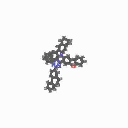 c1ccc(-c2nc(-c3ccc4c(ccc5ccccc54)c3)nc(-c3cc4oc5ccccc5c4cc3-n3c4cc5ccccc5cc4c4cc5ccccc5cc43)n2)cc1